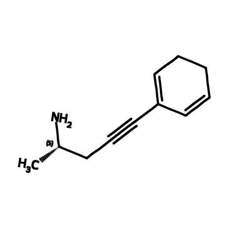 C[C@H](N)CC#CC1=CCCC=C1